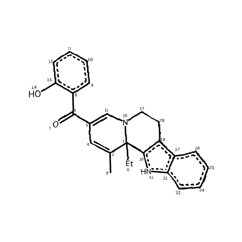 CCC12C(C)=CC(C(=O)c3ccccc3O)=CN1CCc1c2[nH]c2ccccc12